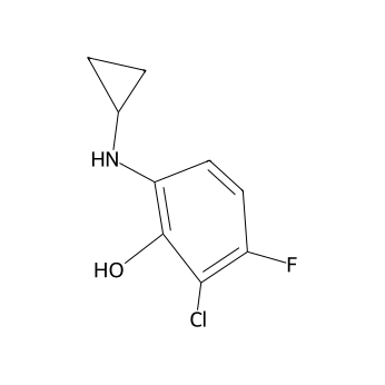 Oc1c(NC2CC2)ccc(F)c1Cl